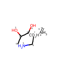 CC(O)CO.NCC(=O)O.[AlH3].[Zr]